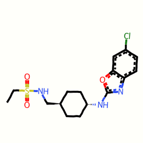 CCS(=O)(=O)NC[C@H]1CC[C@H](Nc2nc3ccc(Cl)cc3o2)CC1